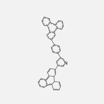 C1=CC2=c3ccccc3=C3C=CC(c4cncc(-c5ccc(-c6ccc7c8ccccc8c8ccccc8c7c6)cc5)c4)=CC3C2C=C1